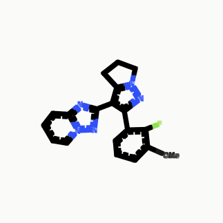 COc1cccc(-c2nn3c(c2-c2nc4ccccn4n2)CCC3)c1F